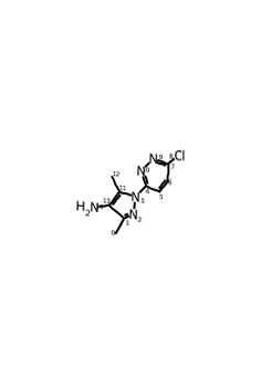 Cc1nn(-c2ccc(Cl)nn2)c(C)c1N